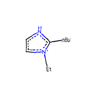 CCCCc1[nH]cc[n+]1CC